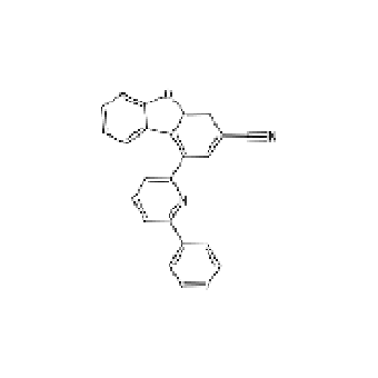 N#Cc1cc(-c2cccc(-c3ccccc3)n2)c2c(c1)oc1ccccc12